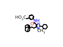 Cn1c(C2CCCCC2)nc(C(=O)Nc2cccc(CC(=O)O)c2)c1CCC12CC3CC(CC(C3)C1)C2